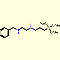 CO[Si](CCCNCCNCc1ccccc1)(OC)OC